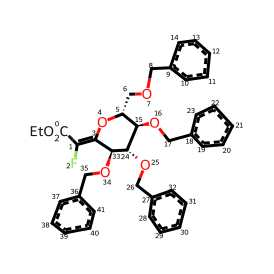 CCOC(=O)C(F)=C1O[C@H](COCc2ccccc2)[C@@H](OCc2ccccc2)[C@H](OCc2ccccc2)[C@H]1OCc1ccccc1